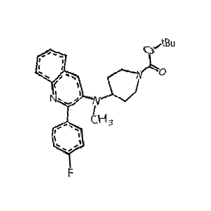 CN(c1cc2ccccc2nc1-c1ccc(F)cc1)C1CCN(C(=O)OC(C)(C)C)CC1